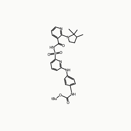 CC1CCN(c2ncccc2C(=O)NS(=O)(=O)c2cccc(Nc3ccc(NC(=O)OC(C)(C)C)cc3)n2)C1(C)C